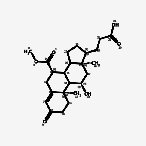 COC(=O)[C@@H]1CC2=CC(=O)CC[C@]2(C)C2C1C1CC[C@@H](CCC(=O)O)[C@@]1(C)C[C@H]2O